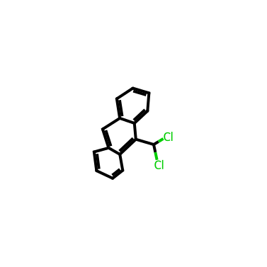 ClC(Cl)c1c2ccccc2cc2ccccc12